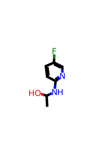 CC(O)Nc1ccc(F)cn1